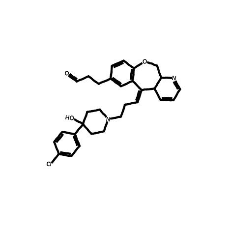 O=CCCc1ccc2c(c1)C(=CCCN1CCC(O)(c3ccc(Cl)cc3)CC1)C1C=CC=NC1CO2